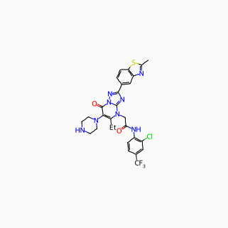 CCc1c(N2CCNCC2)c(=O)n2nc(-c3ccc4sc(C)nc4c3)nc2n1CC(=O)Nc1ccc(C(F)(F)F)cc1Cl